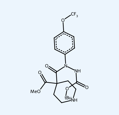 COC(=O)C1(C(=O)N(NC(=O)OC(C)(C)C)c2ccc(OC(F)(F)F)cc2)CCNCC1